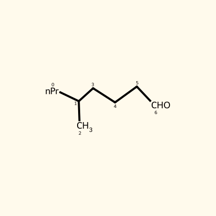 CCCC(C)CCCC=O